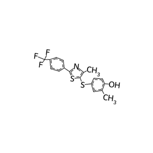 Cc1cc(Sc2sc(-c3ccc(C(F)(F)F)cc3)nc2C)ccc1O